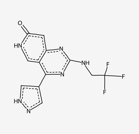 O=c1cc2nc(NCC(F)(F)F)nc(-c3cn[nH]c3)c2c[nH]1